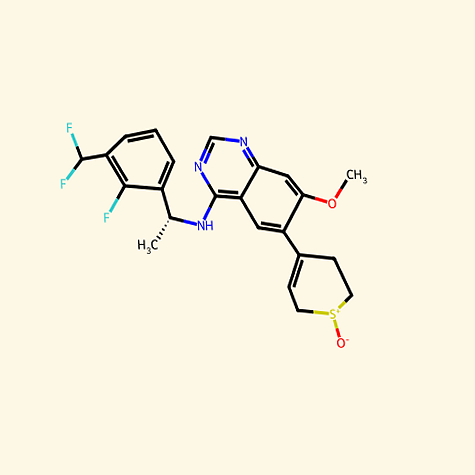 COc1cc2ncnc(N[C@H](C)c3cccc(C(F)F)c3F)c2cc1C1=CC[S+]([O-])CC1